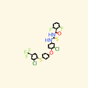 O=C(NC(=S)Nc1ccc(Oc2ccc(Sc3ccc(C(F)(F)F)cc3Cl)cc2)c(Cl)c1)c1c(F)cccc1F